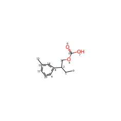 CCC(COC(=O)O)c1cccc(C)c1